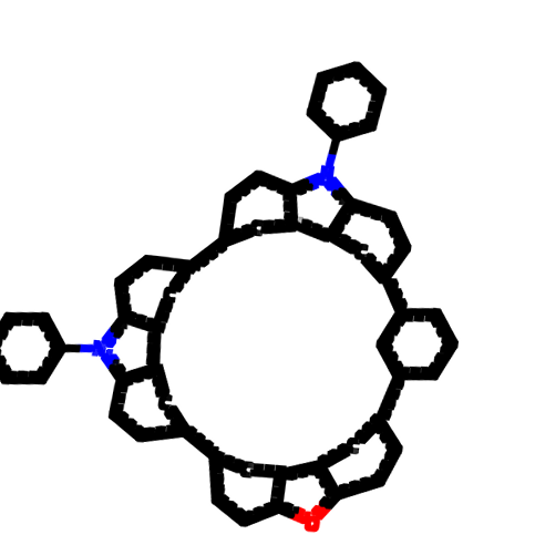 c1ccc(-n2c3ccc4cc3c3cc(ccc32)c2ccc3c(c2)c2cc(ccc2n3-c2ccccc2)c2ccc3oc5ccc(cc5c3c2)c2cccc4c2)cc1